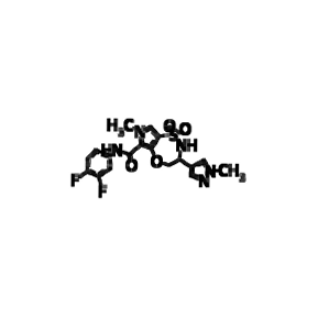 Cn1cc(C2COc3c(cn(C)c3C(=O)Nc3ccc(F)c(F)c3)S(=O)(=O)N2)cn1